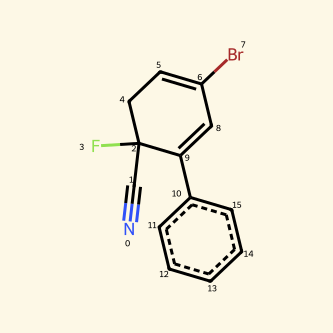 N#CC1(F)CC=C(Br)C=C1c1ccccc1